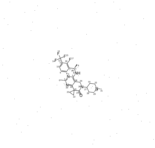 Cc1nc(N[C@H](C)c2cccc(C(F)(F)F)c2F)c2c(n1)C1(CC1)C(=O)N(C1CCN(C)CC1)C2